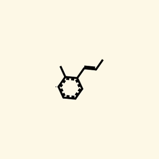 CC=Cc1ccc[c]c1C